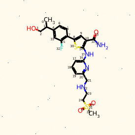 CC(CO)c1ccc(-c2cc(C(N)=O)c(Nc3cccc(CNCCS(C)(=O)=O)n3)s2)c(F)c1